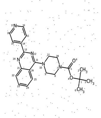 CC(C)(C)OC(=O)N1CCN(c2nc(-c3ccncc3)nc3ccccc23)CC1